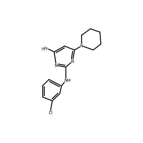 CCCc1cc(N2CCCCC2)nc(Nc2cccc(Cl)c2)n1